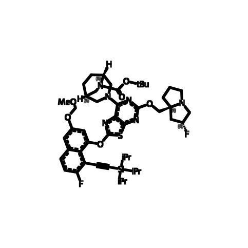 COCOc1cc(Oc2nc3c(N4C[C@@H]5CC[C@H](C4)N(C(=O)OC(C)(C)C)C5)nc(OC[C@@]45CCCN4C[C@H](F)C5)nc3s2)c2c(C#C[Si](C(C)C)(C(C)C)C(C)C)c(F)ccc2c1